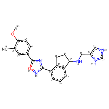 CC(C)Oc1ccc(-c2nc(-c3cccc4c3CCC4NCc3cnc[nH]3)no2)cc1C#N